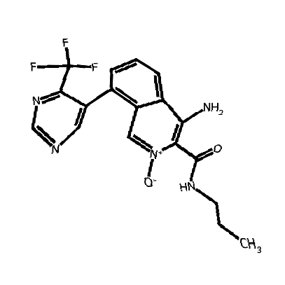 CCCNC(=O)c1c(N)c2cccc(-c3cncnc3C(F)(F)F)c2c[n+]1[O-]